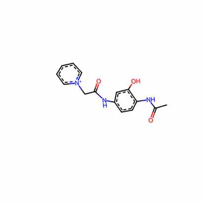 CC(=O)Nc1ccc(NC(=O)C[n+]2ccccc2)cc1O